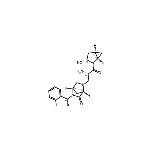 C[C@@H](c1ccccc1F)N1C(=O)[C@@H]2C[C@H]1CN2C[C@H](N)C(=O)N1[C@H](C#N)C[C@@H]2C[C@@H]21